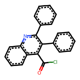 O=C(Cl)c1c(-c2ccccc2)c(-c2ccccc2)nc2ccccc12